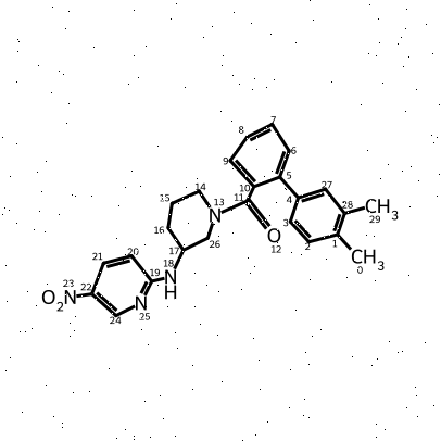 Cc1ccc(-c2ccccc2C(=O)N2CCCC(Nc3ccc([N+](=O)[O-])cn3)C2)cc1C